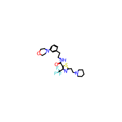 O=C(NCCc1cccc(N2CCOCC2)c1)c1sc(CCN2CCCCC2)nc1C(F)(F)F